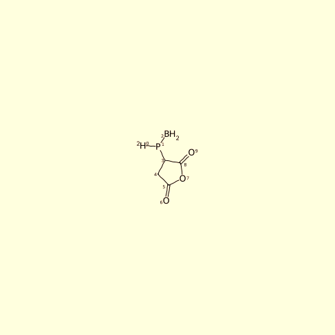 [2H]P(B)C1CC(=O)OC1=O